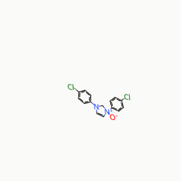 [O-][N+]1(c2ccc(Cl)cc2)C=CN(c2ccc(Cl)cc2)C1